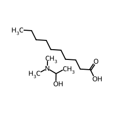 CC(O)N(C)C.CCCCCCCCCC(=O)O